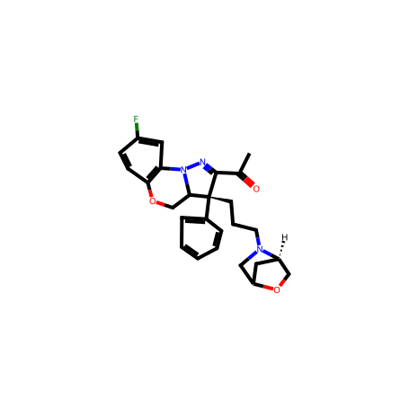 CC(=O)C1=NN2c3cc(F)ccc3OCC2[C@@]1(CCCN1CC2C[C@@H]1CO2)c1ccccc1